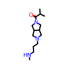 CNCCCN1CC2CN(C(=O)C(C)C)CC2C1